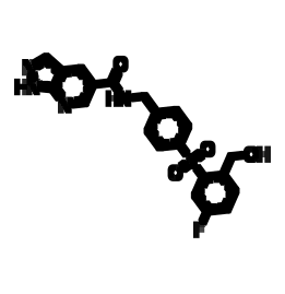 O=C(NCc1ccc(S(=O)(=O)c2cc(F)ccc2CO)cc1)c1cnc2[nH]ncc2c1